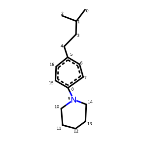 CC(C)CCc1ccc(N2CCCCC2)cc1